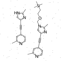 Cc1cc(C#Cc2c[nH]c(C)n2)ccn1.Cc1cc(C#Cc2cn(COCC[Si](C)(C)C)c(C)n2)ccn1